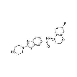 O=C(N[C@@H]1CCOc2cc(F)ccc21)c1ccc2nc(N3CCNCC3)sc2c1